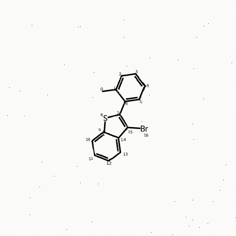 Cc1ccccc1-c1sc2ccccc2c1Br